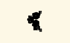 Nc1cc(-c2ocnc2-c2ccc(F)cc2)ccn1